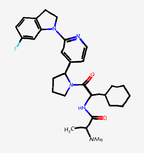 CNC(C)C(=O)NC(C(=O)N1CCCC1c1ccnc(N2CCc3ccc(F)cc32)c1)C1CCCCC1